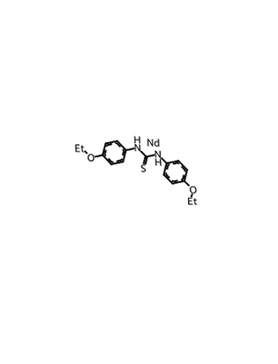 CCOc1ccc(NC(=S)Nc2ccc(OCC)cc2)cc1.[Nd]